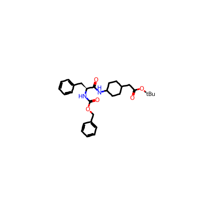 CC(C)(C)OC(=O)CC1CCC(NC(=O)[C@H](Cc2ccccc2)NC(=O)OCc2ccccc2)CC1